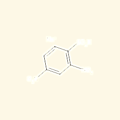 O=[N+]([O-])c1ccc(S(=O)(=O)O)c([N+](=O)[O-])c1.[Na+]